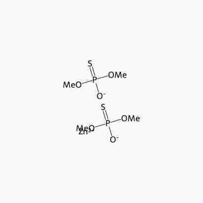 COP([O-])(=S)OC.COP([O-])(=S)OC.[Zn+2]